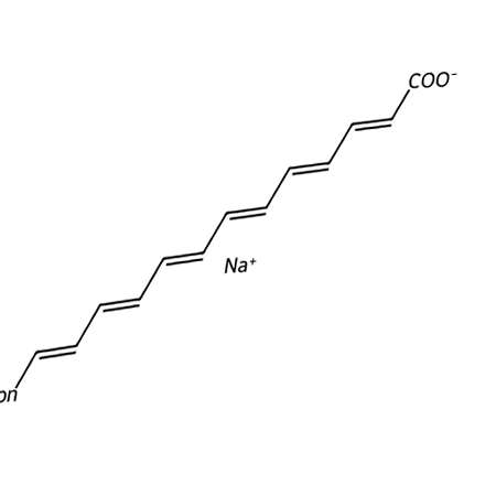 CCCCCCCCCC=CC=CC=CC=CC=CC=CC(=O)[O-].[Na+]